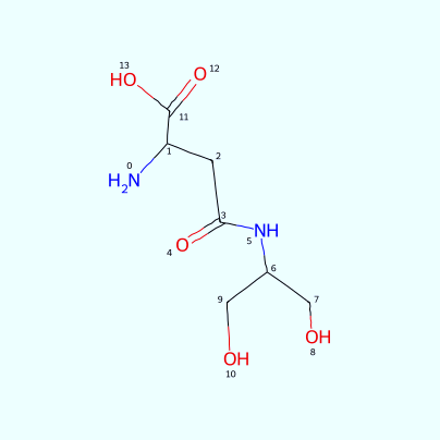 NC(CC(=O)NC(CO)CO)C(=O)O